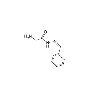 NCC(=O)N/N=C\c1ccccc1